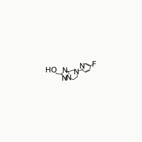 OCc1nc2n(n1)CCN(c1ccc(F)cn1)C2